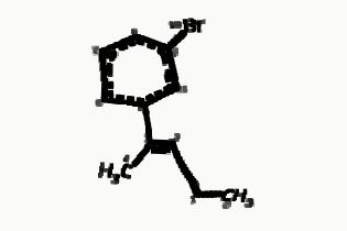 CCC=C(C)c1cccc(Br)c1